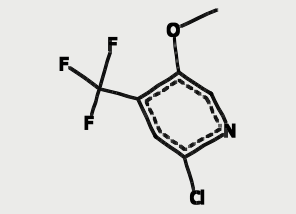 COc1cnc(Cl)cc1C(F)(F)F